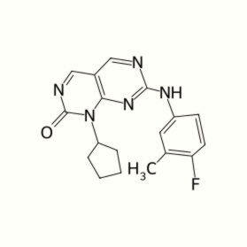 Cc1cc(Nc2ncc3cnc(=O)n(C4CCCC4)c3n2)ccc1F